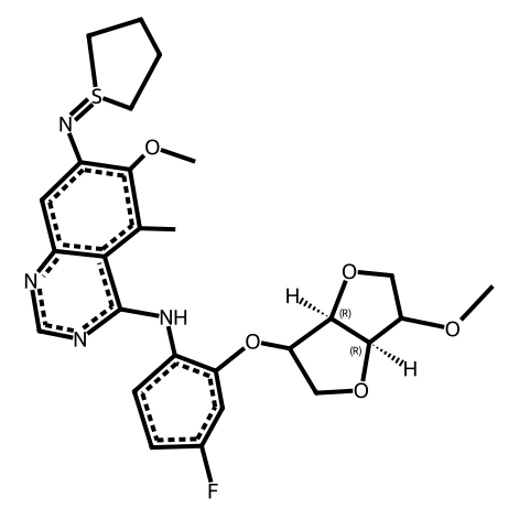 COc1c(N=S2CCCC2)cc2ncnc(Nc3ccc(F)cc3OC3CO[C@@H]4C(OC)CO[C@H]34)c2c1C